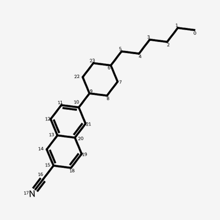 CCCCCCC1CCC(c2ccc3cc(C#N)ccc3c2)CC1